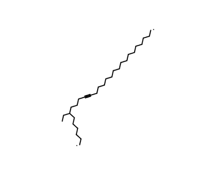 [CH2]CCCCCCCCCCCCCCCC#CCCCC(CC)CCCCC[CH2]